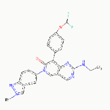 CC(C)n1cc2cc(-n3cc4cnc(NCC(F)(F)F)nc4c(-c4ccc(OC(F)F)cc4)c3=O)ccc2n1